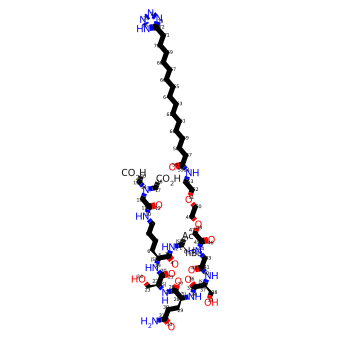 CCCC[C@H](NC(=O)[C@H](CCCCNC(=O)CN(CC(=O)O)CC(=O)O)NC(=O)[C@H](CO)NC(=O)[C@H](CCC(N)=O)NC(=O)[C@H](CO)NC(=O)CNC(=O)COCCOCCNC(=O)CCCCCCCCCCCCCCCc1nnn[nH]1)C(C)=O